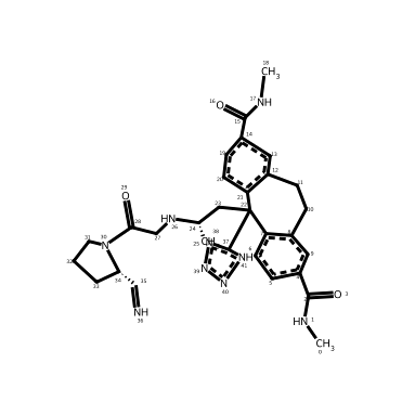 CNC(=O)c1ccc2c(c1)CCc1cc(C(=O)NC)ccc1C2(C[C@H](C)NCC(=O)N1CCC[C@H]1C=N)c1nnn[nH]1